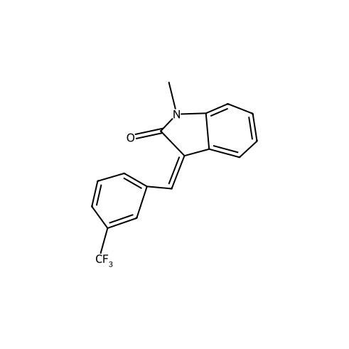 CN1C(=O)C(=Cc2cccc(C(F)(F)F)c2)c2ccccc21